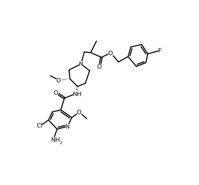 COc1nc(N)c(Cl)cc1C(=O)N[C@H]1CCN(CC(C)C(=O)OCc2ccc(F)cc2)C[C@H]1OC